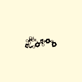 CN(C)C(=O)O[C@H]1CCCN1CCOc1ccc(-n2ccn(-c3ccc(Oc4ccccc4)cc3)c2=O)cc1